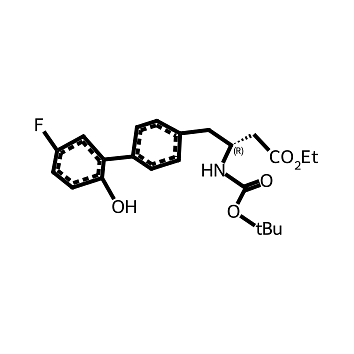 CCOC(=O)C[C@@H](Cc1ccc(-c2cc(F)ccc2O)cc1)NC(=O)OC(C)(C)C